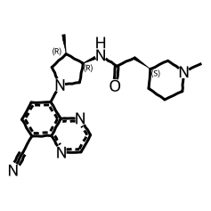 C[C@@H]1CN(c2ccc(C#N)c3nccnc23)C[C@@H]1NC(=O)C[C@@H]1CCCN(C)C1